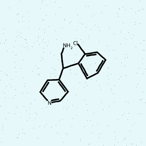 NCC(c1ccncc1)c1ccccc1Cl